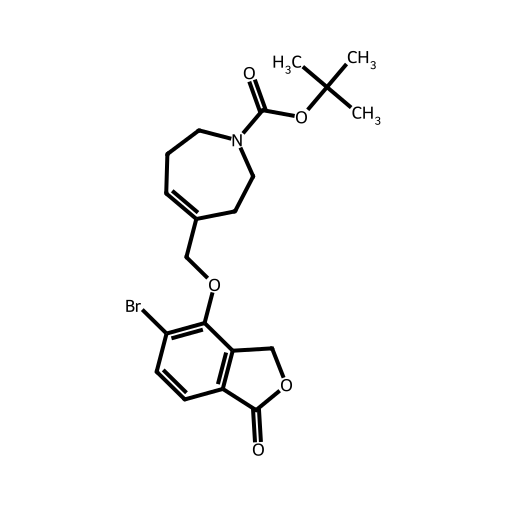 CC(C)(C)OC(=O)N1CCC=C(COc2c(Br)ccc3c2COC3=O)CC1